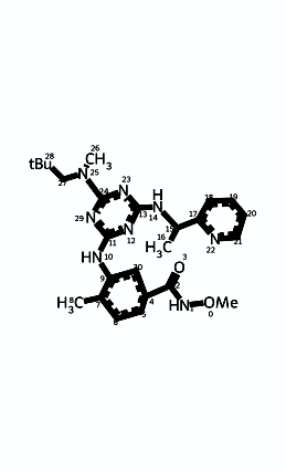 CONC(=O)c1ccc(C)c(Nc2nc(NC(C)c3ccccn3)nc(N(C)CC(C)(C)C)n2)c1